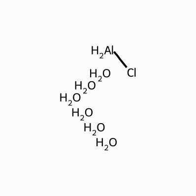 O.O.O.O.O.O.[AlH2][Cl]